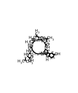 CC(C)C[C@H](NC(=O)N[C@H]1CCCCNC(=O)C(Cc2c(Br)[nH]c3ccc(O)cc23)NC(=O)[C@H](CC(C)C)N(C)C(=O)[C@H](CC(C)C)NC(=O)[C@H](C)NC1=O)C(=O)O